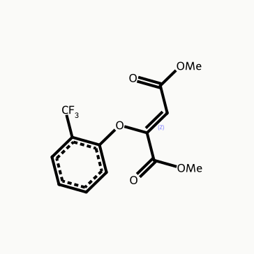 COC(=O)/C=C(\Oc1ccccc1C(F)(F)F)C(=O)OC